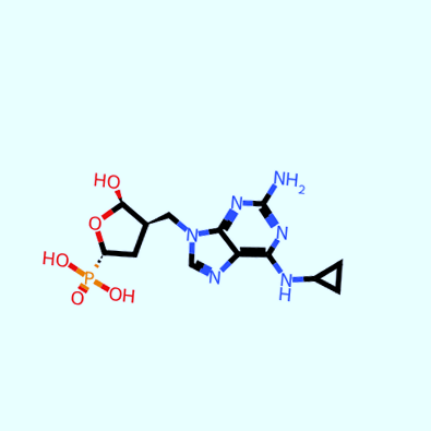 Nc1nc(NC2CC2)c2ncn(C[C@H]3C[C@H](P(=O)(O)O)O[C@H]3O)c2n1